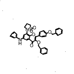 O=c1c(OCc2ccccc2)c(-c2ccc(OCc3ccccc3)cc2)oc2c(N3CCCS3(=O)=O)cc(Nc3ccccc3)cc12